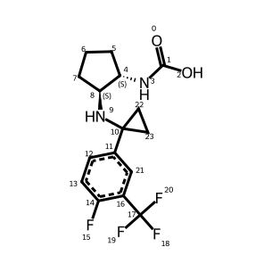 O=C(O)N[C@H]1CCC[C@@H]1NC1(c2ccc(F)c(C(F)(F)F)c2)CC1